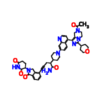 CC(=O)N1CCn2c(C3CCOCC3)nc(-c3ccnc4cc(N5CCC(C(CC#Cc6cccc7c6CN(C6CCC(=O)NC6=O)C7=O)C(N)=O)CC5)ccc34)c2C1